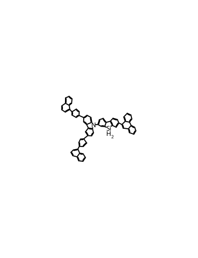 c1ccc2c(-c3ccc(-c4ccc5c(c4)c4cc(-c6ccc(-c7cccc8ccccc78)cc6)ccc4n5-c4ccc5c(c4)[SiH2]c4cc(-c6cc7ccccc7c7ccccc67)ccc4-5)cc3)cccc2c1